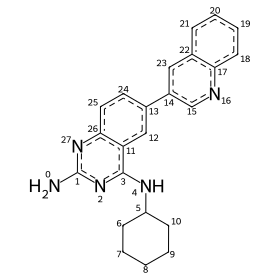 Nc1nc(NC2CCCCC2)c2cc(-c3cnc4ccccc4c3)ccc2n1